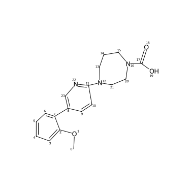 COc1ccccc1-c1ccc(N2CCCN(C(=O)O)CC2)nc1